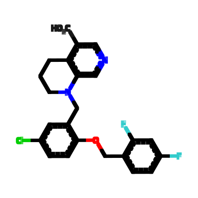 O=C(O)c1cncc2c1CCCN2Cc1cc(Cl)ccc1OCc1ccc(F)cc1F